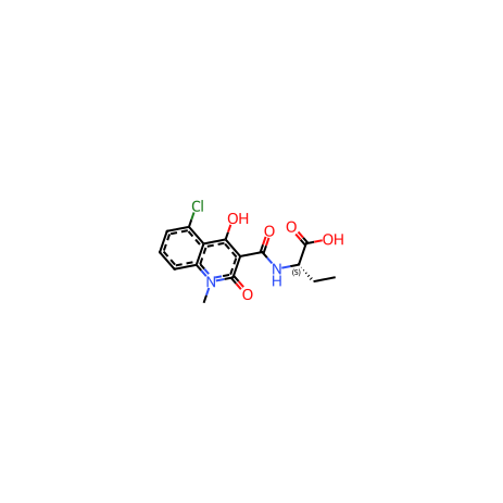 CC[C@H](NC(=O)c1c(O)c2c(Cl)cccc2n(C)c1=O)C(=O)O